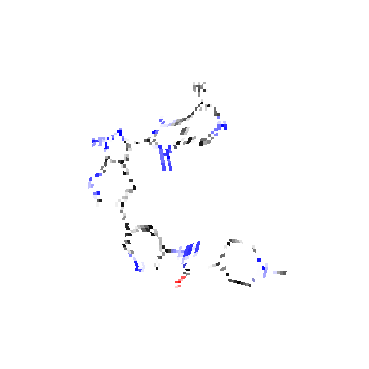 [C-]#[N+]c1cncc2[nH]c(-c3n[nH]c4ncc(-c5cncc(NC(=O)C6CCN(C)CC6)c5)cc34)nc12